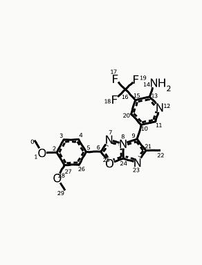 COc1ccc(-c2nn3c(-c4cnc(N)c(C(F)(F)F)c4)c(C)nc3o2)cc1OC